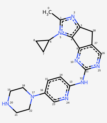 Cc1nc2c(n1C1CC1)-c1nc(Nc3ccc(N4CCNCC4)cn3)ncc1C2